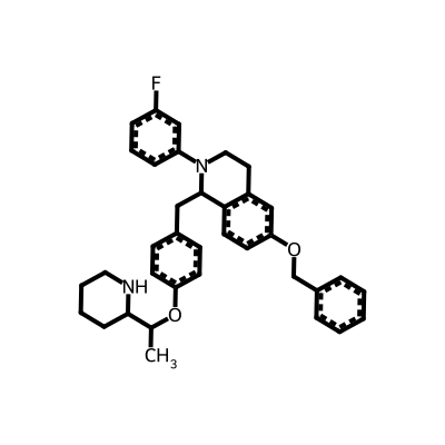 CC(Oc1ccc(CC2c3ccc(OCc4ccccc4)cc3CCN2c2cccc(F)c2)cc1)C1CCCCN1